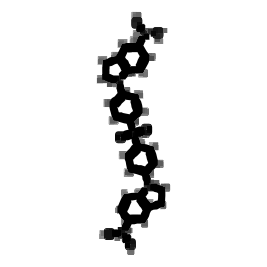 O=[N+]([O-])c1ccc2c(c1)CCN2c1ccc(S(=O)(=O)c2ccc(N3CCc4cc([N+](=O)[O-])ccc43)cc2)cc1